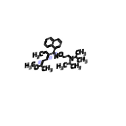 C=CC(=C\C=C(/C)OC)/C(=N/OCCN(C(C)C)C(C)C)c1cccc2ccccc12